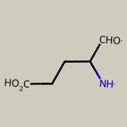 [NH]C([C]=O)CCC(=O)O